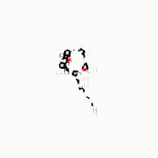 C=C1C[C@@H]2CC[C@]34C[C@@H](O)[C@@H]5C(O3)[C@@H]3[C@H]5O[C@H]5CC[C@H](CC(=O)C[C@@H]6[C@@H](OC)[C@@H](C[C@H](O)CNC(=O)CCOCCOCCN=[N+]=[N-])O[C@H]6C[C@H]6O[C@@H](CC[C@@H]1O2)C[C@@H](C)C6=C)O[C@@H]5[C@@H]3O4